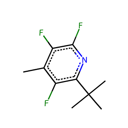 Cc1c(F)c(F)nc(C(C)(C)C)c1F